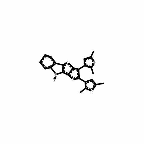 Cc1cc(-c2sc3c4c(sc3c2-c2cc(C)sc2C)-c2ccccc2[PH]4=S)c(C)s1